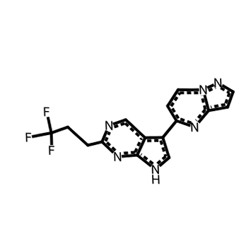 FC(F)(F)CCc1ncc2c(-c3ccn4nccc4n3)c[nH]c2n1